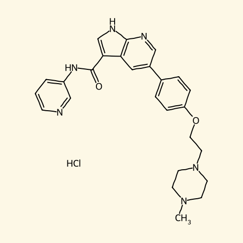 CN1CCN(CCOc2ccc(-c3cnc4[nH]cc(C(=O)Nc5cccnc5)c4c3)cc2)CC1.Cl